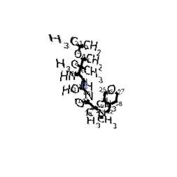 C=C(C)OC(=C)C(C)(C)C(=N)/C=C(\O)NC(=O)C(C)(C)N(C)CC1CCOCC1